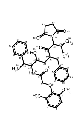 Cc1cccc(C)c1OCC(=O)N[C@@H](C(N)c1ccccc1)[C@@H](O)C[C@H](Cc1ccccc1)C(=O)C(C(C)C)N1C(=O)CCC1=O